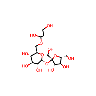 OCCC(O)OC[C@H]1O[C@H](O[C@]2(CO)O[C@H](CO)[C@@H](O)[C@@H]2O)[C@H](O)[C@@H](O)[C@@H]1O